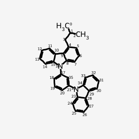 CC(C)Cc1cccc2c1c1ccccc1n2-c1cccc(-n2c3ccccc3c3ccccc32)c1